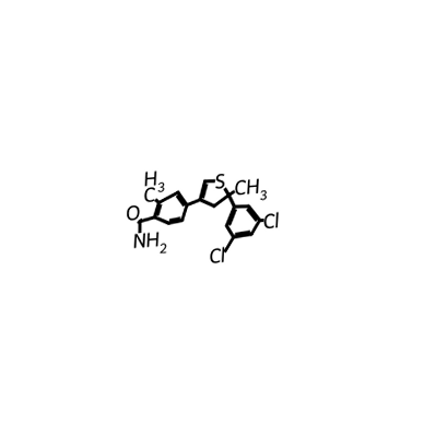 Cc1cc(C2=CSC(C)(c3cc(Cl)cc(Cl)c3)C2)ccc1C(N)=O